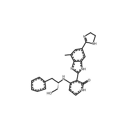 Cc1cc(C2=NCCN2)cc2[nH]c(-c3c(N[C@H](CO)Cc4ccccc4)cc[nH]c3=O)nc12